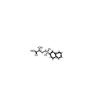 O=C(O)[C@@H](O)CCS(=O)(=O)c1ccc2ccccc2c1